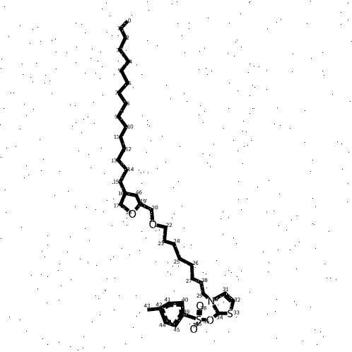 CCCCCCCCCCCCCCCCC1COC(COCCCCCCCCN2C=CSC2OS(=O)(=O)c2ccc(C)cc2)C1